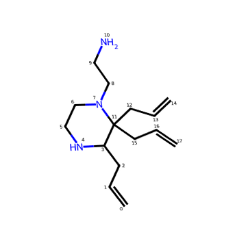 C=CCC1NCCN(CCN)C1(CC=C)CC=C